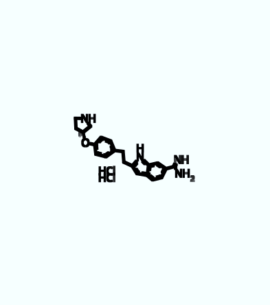 Cl.Cl.N=C(N)c1ccc2cc(CCc3ccc(O[C@H]4CCNC4)cc3)[nH]c2c1